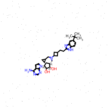 CC(C)(C)c1ccc2[nH]c(CCC3CC(N(CC4CC4)C[C@H]4C[C@@H](n5ccc6c(N)ncnc65)[C@H](O)[C@@H]4O)C3)nc2c1